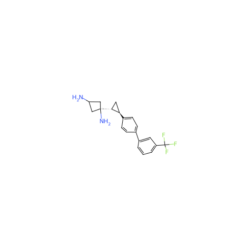 NC1CC(N)([C@@H]2C[C@H]2c2ccc(-c3cccc(C(F)(F)F)c3)cc2)C1